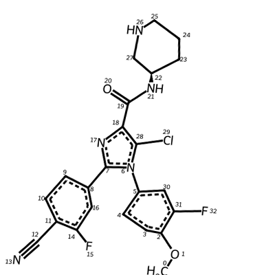 COc1ccc(-n2c(-c3ccc(C#N)c(F)c3)nc(C(=O)N[C@@H]3CCCNC3)c2Cl)cc1F